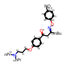 CCCCC(CC(=O)c1ccc(OCCCN(CCC)CCC)cc1)=NOc1ccc([N+](=O)[O-])cc1